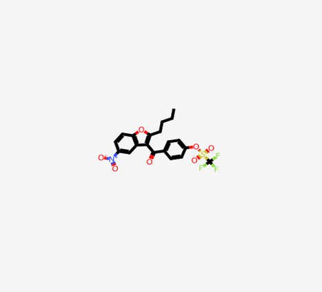 CCCCc1oc2ccc([N+](=O)[O-])cc2c1C(=O)c1ccc(OS(=O)(=O)C(F)(F)F)cc1